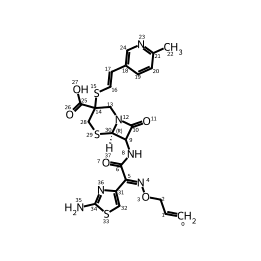 C=CCON=C(C(=O)NC1C(=O)N2CC(SC=Cc3ccc(C)nc3)(C(=O)O)CS[C@H]12)c1csc(N)n1